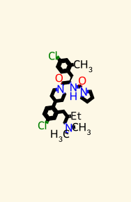 CCC(Cc1cc(Cl)ccc1C1CCN(C(=O)[C@@H](Cc2ccc(Cl)cc2C)NC(=O)N2CCCC2)CC1)CN(C)C